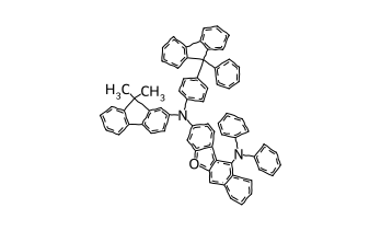 CC1(C)c2ccccc2-c2ccc(N(c3ccc(C4(c5ccccc5)c5ccccc5-c5ccccc54)cc3)c3ccc4c(c3)oc3cc5ccccc5c(N(c5ccccc5)c5ccccc5)c34)cc21